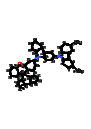 CC(C)(C)c1ccc2c(c1)c1cc(C(C)(C)C)ccc1n2-c1ccc2c(c1)c1ccccc1n2-c1ccc2c(c1)Oc1ccccc1C21c2ccccc2-c2ccccc21